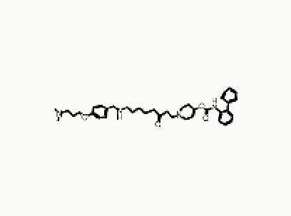 CN(C)CCCOc1ccc(CNCCCCCC(=O)CCN2CCC(OC(=O)Nc3ccccc3-c3ccccc3)CC2)cc1